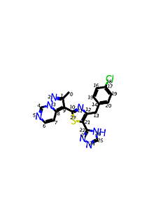 Cc1nn2cnccc2c1-c1nc(Cc2ccc(Cl)cc2)c(-c2nnc[nH]2)s1